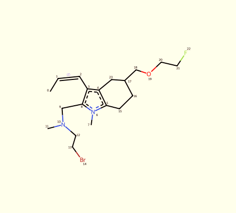 C/C=C\c1c2c(n(C)c1CN(C)CCBr)CCC(COCCF)C2